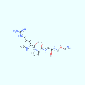 N=C(N)NCCC[C@H](NC=O)C(=O)N1CCC[C@H]1C(=O)NCC(=O)NCOCN